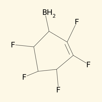 BC1C(F)=C(F)C(F)C(F)C1F